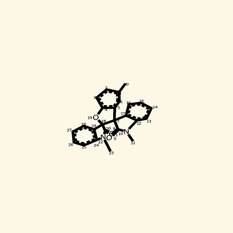 Cc1ccc2c(c1)C1(C(=O)N(C)c3ccccc31)C1(O2)C(=O)N(C)c2ccccc21